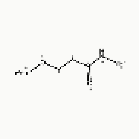 CCCCCOCCC(=O)NCCC